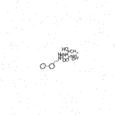 C[C@@H](O)[C@H](NC(=O)NCCc1cccc(-c2ccccc2)c1)C(=O)NO